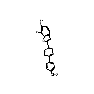 CCOc1ccc2cc(-c3ccc(-c4ccc(C=O)cc4)cc3)sc2c1F